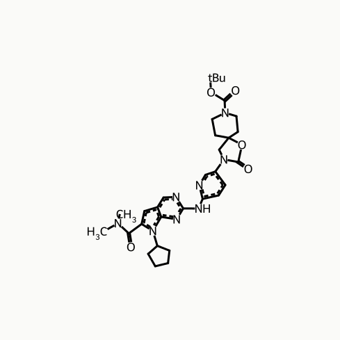 CN(C)C(=O)c1cc2cnc(Nc3ccc(N4CC5(CCN(C(=O)OC(C)(C)C)CC5)OC4=O)cn3)nc2n1C1CCCC1